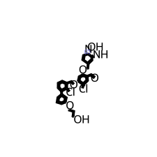 N=C1C=C(COc2cc(OCc3cccc(-c4cccc(OCCCO)c4)c3Cl)c(Cl)cc2C=O)C=C/C1=N/O